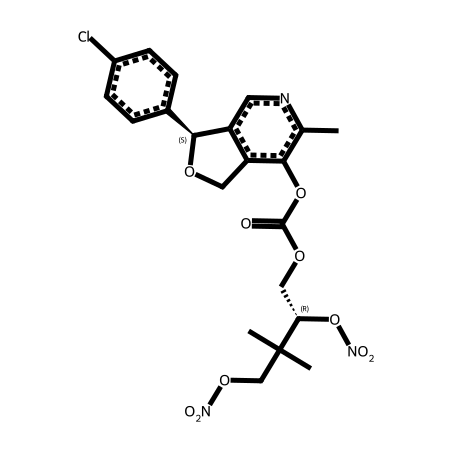 Cc1ncc2c(c1OC(=O)OC[C@H](O[N+](=O)[O-])C(C)(C)CO[N+](=O)[O-])CO[C@H]2c1ccc(Cl)cc1